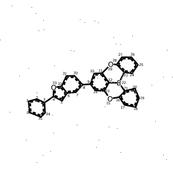 c1ccc(-c2cc3cc(-c4cc5c6c(c4)Oc4ccccc4B6c4ccccc4O5)ccc3o2)cc1